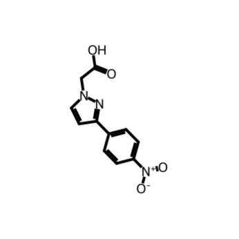 O=C(O)Cn1ccc(-c2ccc([N+](=O)[O-])cc2)n1